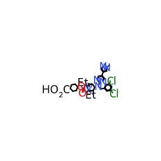 CC[C@@H]1CC(N(Cc2cc(Cl)cc(Cl)c2)c2ncc(-c3cnn(C)c3)cn2)C[C@H](CC)N1C(=O)O[C@H]1CC[C@H](C(=O)O)CC1